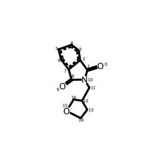 O=C1c2ccccc2C(=O)N1CC1CCOC1